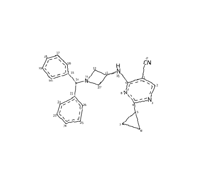 N#Cc1cnc(C2CC2)nc1NC1CN(C(c2ccccc2)c2ccccc2)C1